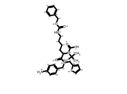 CC(C)(C)N(C(=O)O)C(CCCCNC(=O)OCc1ccccc1)C(=O)N(Cc1ccc(N)cc1)Cc1cccs1